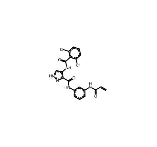 C=CC(=O)Nc1cccc(NC(=O)c2n[nH]cc2NC(=O)c2c(Cl)cccc2Cl)c1